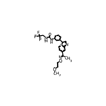 COCCO/N=C(\C)c1ccn2c(-c3cccc(NC(=O)NCC(F)(F)F)c3)cnc2c1